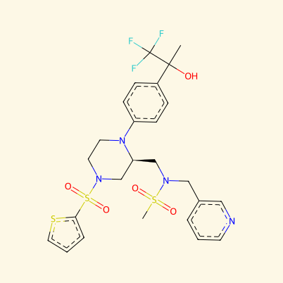 CC(O)(c1ccc(N2CCN(S(=O)(=O)c3cccs3)C[C@@H]2CN(Cc2cccnc2)S(C)(=O)=O)cc1)C(F)(F)F